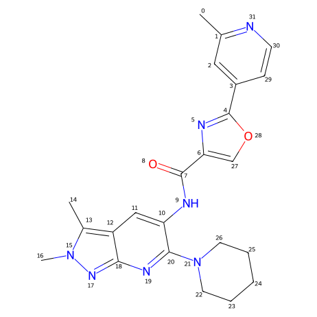 Cc1cc(-c2nc(C(=O)Nc3cc4c(C)n(C)nc4nc3N3CCCCC3)co2)ccn1